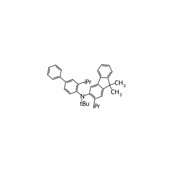 CC(C)c1cc(-c2ccccc2)ccc1N(c1cc2c(cc1C(C)C)C(C)(C)c1ccccc1-2)C(C)(C)C